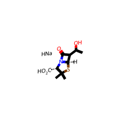 CC(O)C1C(=O)N2[C@@H]1SC(C)(C)[C@@H]2C(=O)O.[NaH]